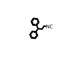 [C-]#[N+]CCC(c1ccccc1)c1ccccc1